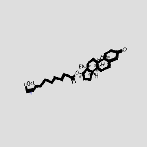 CCCCCCCC/C=C\CCCCCCCC(=O)O[C@H]1CC[C@H]2[C@@H]3CCC4=CC(=O)CC[C@@H]4[C@H]3CC[C@]12CC